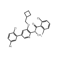 CC(=O)c1ccc(Cl)c(-c2cnc(N(C)C(=O)c3c(F)cccc3Cl)c(OCC3CCC3)c2)c1